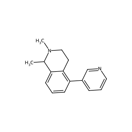 CC1c2cccc(-c3cccnc3)c2CCN1C